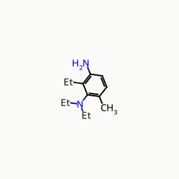 CCc1c(N)ccc(C)c1N(CC)CC